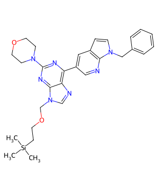 C[Si](C)(C)CCOCn1cnc2c(-c3cnc4c(ccn4Cc4ccccc4)c3)nc(N3CCOCC3)nc21